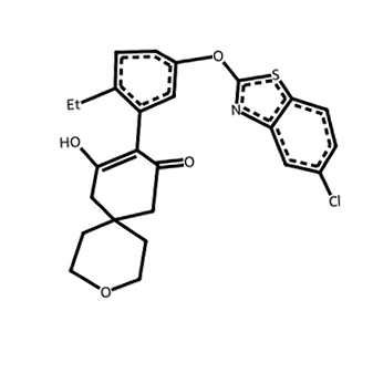 CCc1ccc(Oc2nc3cc(Cl)ccc3s2)cc1C1=C(O)CC2(CCOCC2)CC1=O